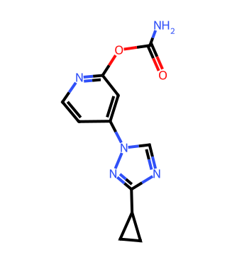 NC(=O)Oc1cc(-n2cnc(C3CC3)n2)ccn1